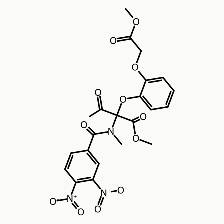 COC(=O)COc1ccccc1OC(C(C)=O)(C(=O)OC)N(C)C(=O)c1ccc([N+](=O)[O-])c([N+](=O)[O-])c1